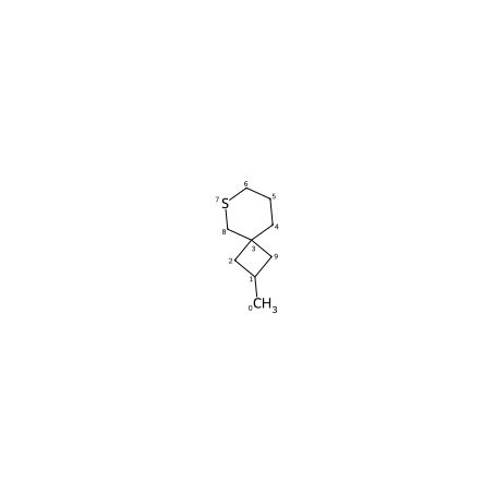 CC1CC2(CCCSC2)C1